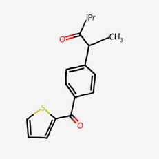 CC(C)C(=O)C(C)c1ccc(C(=O)c2cccs2)cc1